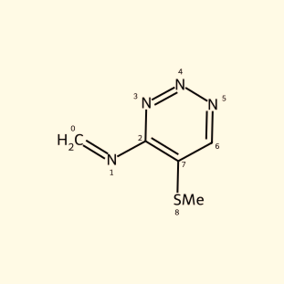 C=Nc1nnncc1SC